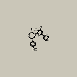 [C-]#[N+]c1ccc([C@@H]2COCCN(c3nc(-c4ccncn4)cc(=O)n3C)C2)cc1